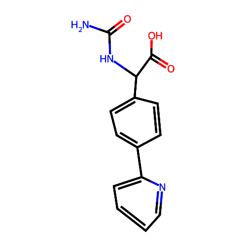 NC(=O)NC(C(=O)O)c1ccc(-c2ccccn2)cc1